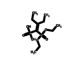 CCOP(=O)(OCC)C(=C(CC)CC)P(=O)(O)O